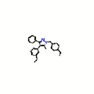 CCc1cccc(-c2c(C3=CC=CCC3)nn(CC3CCC(CC)CC3)c2C)c1